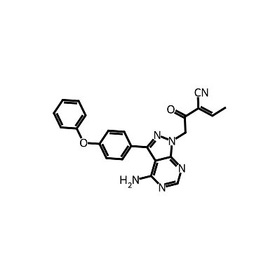 CC=C(C#N)C(=O)Cn1nc(-c2ccc(Oc3ccccc3)cc2)c2c(N)ncnc21